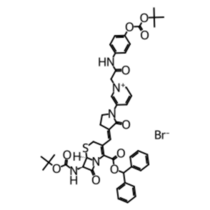 CC(C)(C)OC(=O)N[C@@H]1C(=O)N2C(C(=O)OC(c3ccccc3)c3ccccc3)=C(C=C3CCN(c4ccc[n+](CC(=O)Nc5ccc(OC(=O)OC(C)(C)C)cc5)c4)C3=O)CS[C@H]12.[Br-]